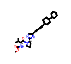 COC(=O)N[C@H](C(=O)N1CCC[C@H]1c1ncc(C#CC#Cc2ccc(-c3ccccc3)cc2)[nH]1)C(C)C